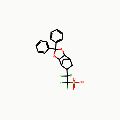 O=S(=O)(O)C(F)(F)C(F)(F)C1CC2CC1C1OC(c3ccccc3)(c3ccccc3)OC21